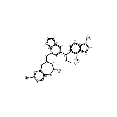 CCOC(=O)CC(c1cc(CN2Cc3nc(O)ccc3C[C@H](CC)C2)c2sccc2c1)c1cnc2c(nnn2C)c1C